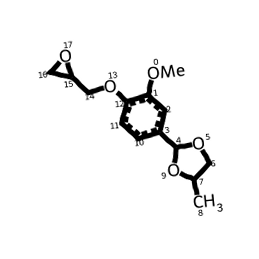 COc1cc(C2OCC(C)O2)ccc1OCC1CO1